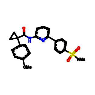 CNS(=O)(=O)c1ccc(-c2cccc(NC(=O)C3(c4ccc(OC)cc4)CC3)n2)cc1